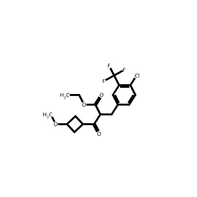 CCOC(=O)C(Cc1ccc(Cl)c(C(F)(F)F)c1)C(=O)C1CC(OC)C1